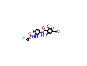 Cc1cc(C#N)cc(I)c1C(=O)Nc1ccnc(NC(=O)[C@@H]2C[C@@H]2F)c1